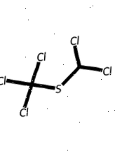 ClC(Cl)SC(Cl)(Cl)Cl